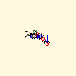 CC(=O)NC(C)COc1cnc(Oc2ccc3nc(C(C)C)sc3c2Cl)cn1